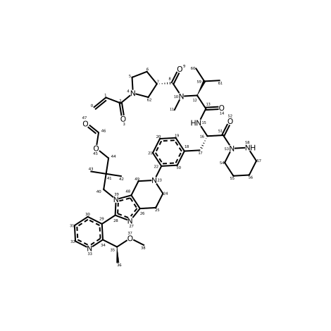 C=CC(=O)N1CC[C@H](C(=O)N(C)[C@H](C(=O)N[C@@H](Cc2cccc(N3CCc4nc(-c5cccnc5[C@H](C)OC)n(CC(C)(C)COC=O)c4C3)c2)C(=O)N2CCCCN2)C(C)C)C1